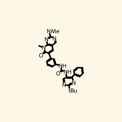 CNc1ncc2cc(-c3cccc(NC(=O)Nc4cnc(C(C)(C)C)nc4-c4ccccc4)c3)c(=O)n(C)c2n1